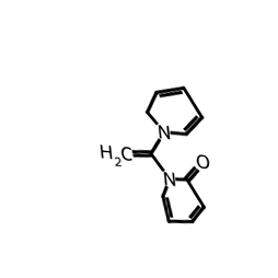 C=C(N1C=CC=CC1)n1ccccc1=O